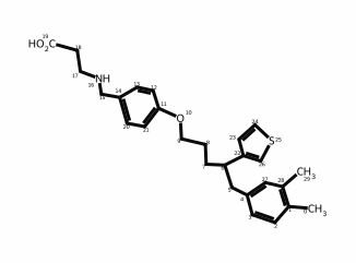 Cc1ccc(CC(CCCOc2ccc(CNCCC(=O)O)cc2)c2ccsc2)cc1C